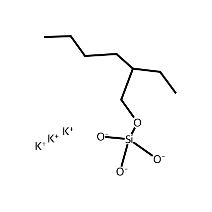 CCCCC(CC)CO[Si]([O-])([O-])[O-].[K+].[K+].[K+]